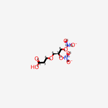 O=C(O)CCOC[C@@H](CO[N+](=O)[O-])O[N+](=O)[O-]